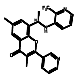 Cc1cc([C@@H](C)Nc2cccnc2C(F)(F)F)c2oc(-c3cccnc3)c(C)c(=O)c2c1